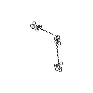 O=C(CCCCCCCCCCCC(=O)O[N+](=O)OC(=O)CCCCCCCCCCCC(=O)NC1CCOC1=O)NC1CCOC1=O